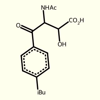 CCC(C)c1ccc(C(=O)C(NC(C)=O)C(O)C(=O)O)cc1